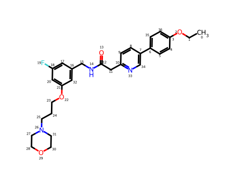 CCOc1ccc(-c2ccc(CC(=O)NCc3cc(F)cc(OCCCN4CCOCC4)c3)nc2)cc1